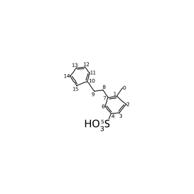 Cc1ccc(S(=O)(=O)O)cc1CCc1ccccc1